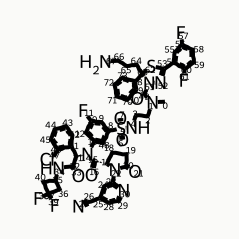 CN(CCNS(=O)(=O)c1cc(F)cc(N(C(=O)[C@@H]2CCC(=O)N2c2cc(C#N)ccn2)[C@H](C(=O)NC2CC(F)(F)C2)c2ccccc2Cl)c1)C(=O)N1N=C(c2cc(F)ccc2F)SC1(CCCN)c1ccccc1